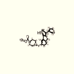 CC(C)(C)OC(=O)N1CCN(Cc2ccc3c(c2)-c2[nH]nc(-c4ccsc4)c2C3)CC1